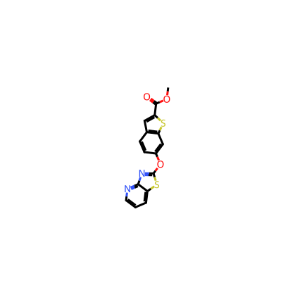 COC(=O)c1cc2ccc(Oc3nc4ncccc4s3)cc2s1